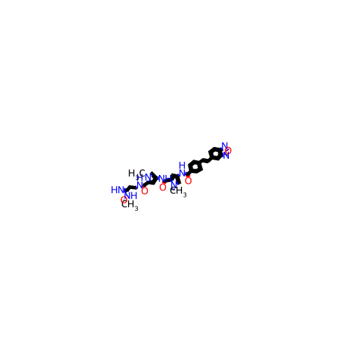 CONC(=N)CCNC(=O)c1cc(NC(=O)c2cc(NC(=O)c3ccc(/C=C/c4ccc5nonc5c4)cc3)cn2C)cn1C